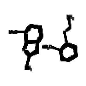 COc1cccc2sc(N)nc12.NCOc1ccccc1C(=O)O